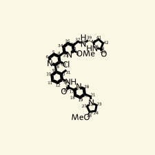 COc1nc(-c2ccnc(-c3cccc(NC(=O)c4ccc(CN5CC[C@@H](OC)C5)cn4)c3C)c2Cl)ccc1CNC[C@@H]1CCC(=O)N1